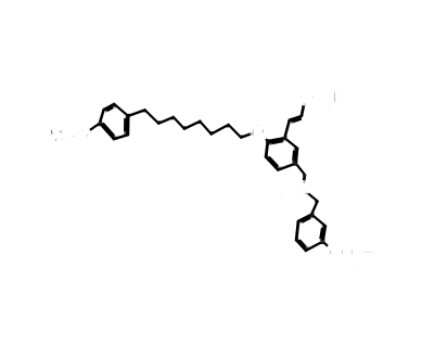 COc1ccc(CCCCCCCCOc2ccc(C[S+]([O-])Cc3cccc(C(=O)O)c3)cc2/C=C/C(=O)O)cc1